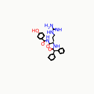 N=C(N)NCCC[C@@H](NC(=O)C(c1ccccc1)c1ccccc1)C(=O)NC(=O)c1ccc(O)cc1